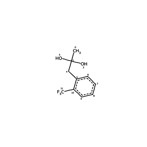 CC(O)(O)Cc1ccccc1C(F)(F)F